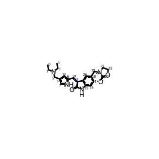 CCN(CC)Cc1c[nH]c(/C=C2\C(=O)Nc3ccc(CN4CCOC4=O)cc32)c1